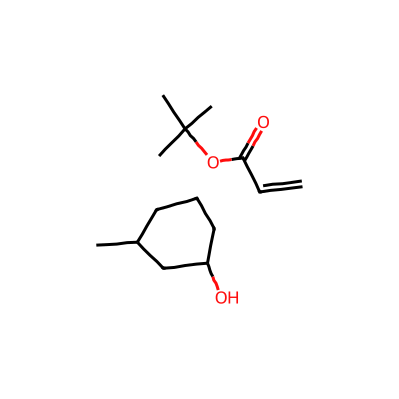 C=CC(=O)OC(C)(C)C.CC1CCCC(O)C1